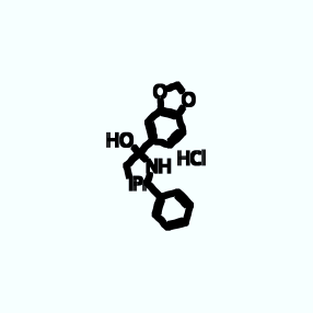 CC(C)CC(O)(NCc1ccccc1)c1ccc2c(c1)OCO2.Cl